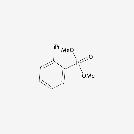 COP(=O)(OC)c1ccccc1C(C)C